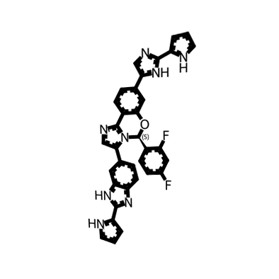 Fc1ccc([C@@H]2Oc3cc(-c4cnc(-c5ccc[nH]5)[nH]4)ccc3-c3ncc(-c4ccc5nc(-c6ccc[nH]6)[nH]c5c4)n32)c(F)c1